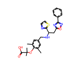 Cc1cc(CNC(Cc2nc(-c3ccccc3)no2)c2nccs2)cc(C)c1OC(C)(C)C(=O)O